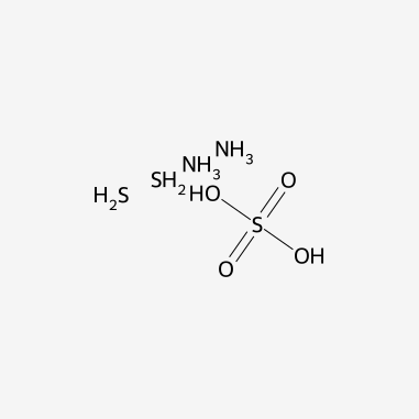 N.N.O=S(=O)(O)O.S.S